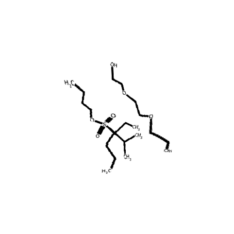 CCCCOS(=O)(=O)C(CC)(CCC)C(C)C.OCCOCCOCCO